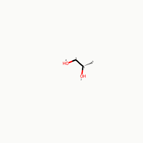 C[C@H](O)[CH]O